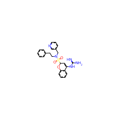 N=C(N)NC1=CC(S(=O)(=O)N(CCc2ccccc2)Cc2cccnc2)Oc2ccccc21